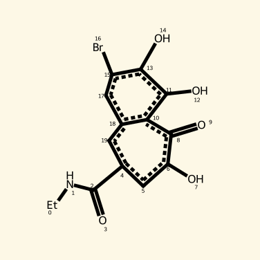 CCNC(=O)c1cc(O)c(=O)c2c(O)c(O)c(Br)cc2c1